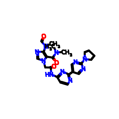 CN(C)C(=O)c1c(N(C)C=O)ncn1CC(=O)Nc1ccnc(-c2cnc(N3CCCC3)nc2)n1